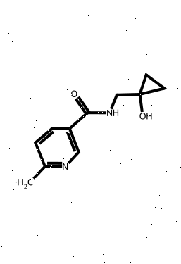 [CH2]c1ccc(C(=O)NCC2(O)CC2)cn1